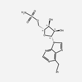 CC(C)Cc1ncnc2c1ncn2[C@@H]1O[C@H](COS(N)(=O)=O)[C@@H](O)[C@H]1O